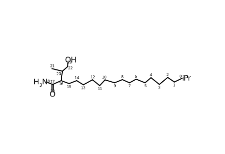 CC(C)CCCCCCCCCCCCCCCC(C(N)=O)C(C)CO